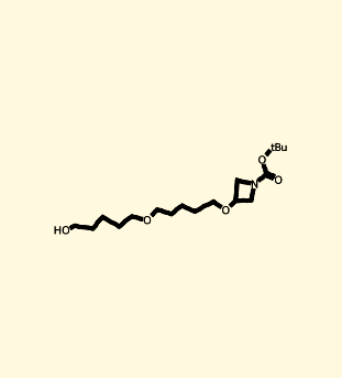 CC(C)(C)OC(=O)N1CC(OCCCCCOCCCCCO)C1